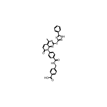 Cc1nc(Sc2n[nH]c(-c3ccccc3)n2)nc2c1ccc(=O)n2-c1ccc(C(=O)NCc2ccc(C(=O)O)cc2)cc1